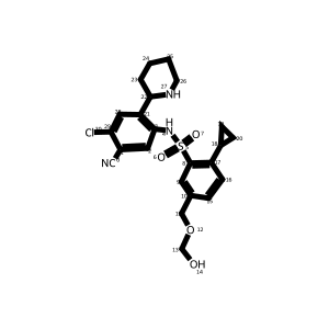 N#Cc1cc(NS(=O)(=O)c2cc(COCO)ccc2C2CC2)c(C2CCCCN2)cc1Cl